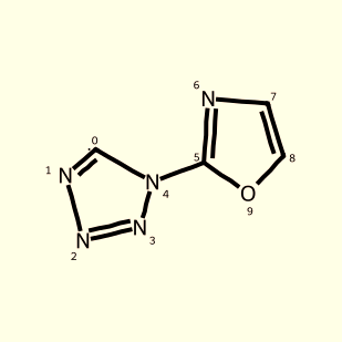 [c]1nnnn1-c1ncco1